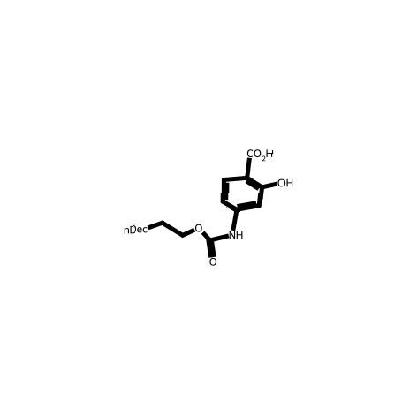 CCCCCCCCCCCCOC(=O)Nc1ccc(C(=O)O)c(O)c1